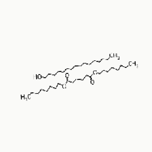 CCCCCCCCCCCCCCCCO.CCCCCCCCOC(=O)CCCCC(=O)OCCCCCCCC